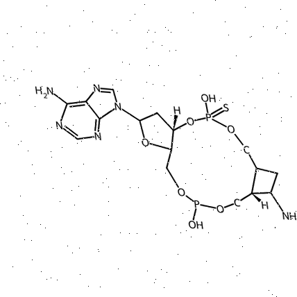 Nc1ncnc2c1ncn2C1C[C@@H]2OP(O)(=S)OCC3CC(N)[C@@H]3COP(O)OCC2O1